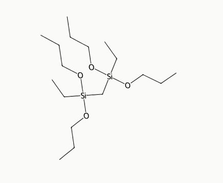 CCCO[Si](CC)(C[Si](CC)(OCCC)OCCC)OCCC